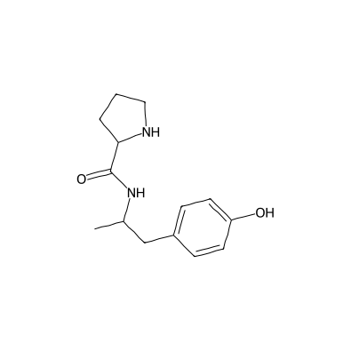 CC(Cc1ccc(O)cc1)NC(=O)C1CCCN1